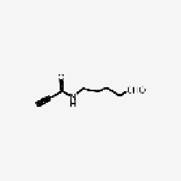 C#CC(=O)NCCCCC=O